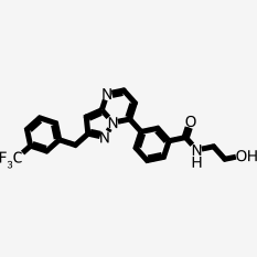 O=C(NCCO)c1cccc(-c2ccnc3cc(Cc4cccc(C(F)(F)F)c4)nn23)c1